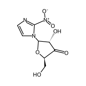 O=C1[C@@H](O)C(n2ccnc2[N+](=O)[O-])O[C@@H]1CO